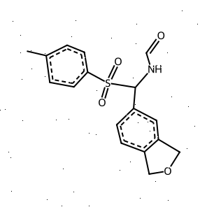 Cc1ccc(S(=O)(=O)C(NC=O)c2ccc3c(c2)COC3)cc1